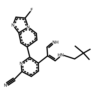 CC(C)(C)CN/C=C(\C=N)c1ccc(C#N)nc1-c1ccn2c(F)cnc2c1